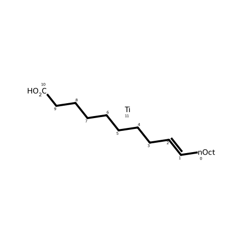 CCCCCCCCC=CCCCCCCCC(=O)O.[Ti]